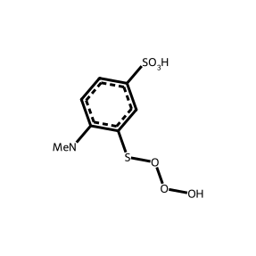 CNc1ccc(S(=O)(=O)O)cc1SOOO